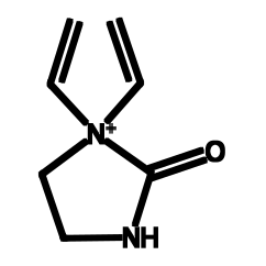 C=C[N+]1(C=C)CCNC1=O